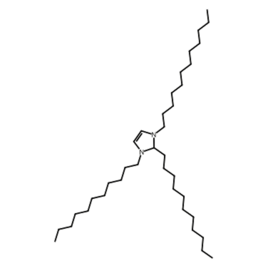 CCCCCCCCCCCCN1C=CN(CCCCCCCCCCC)C1CCCCCCCCCCC